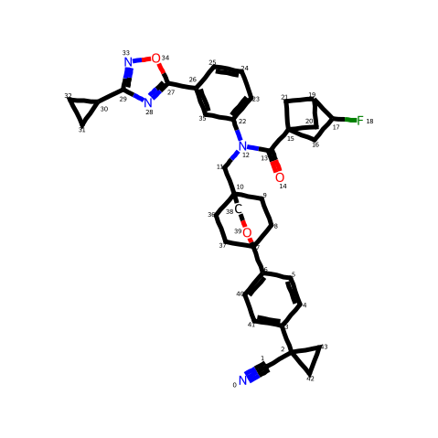 N#CC1(c2ccc(C34CCC(CN(C(=O)C56CC(F)C(C5)C6)c5cccc(-c6nc(C7CC7)no6)c5)(CC3)CO4)cc2)CC1